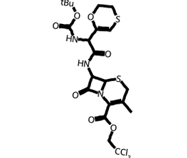 CC1=C(C(=O)OCC(Cl)(Cl)Cl)N2C(=O)C(NC(=O)C(NC(=O)OC(C)(C)C)C3=CSCCO3)C2SC1